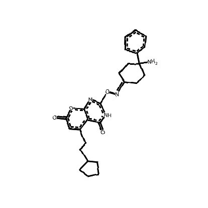 NC1(c2ccccc2)CCC(=NOc2nc3oc(=O)cc(CCC4CCCC4)c3c(=O)[nH]2)CC1